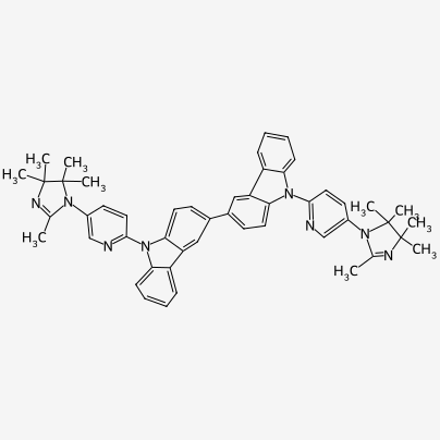 CC1=NC(C)(C)C(C)(C)N1c1ccc(-n2c3ccccc3c3cc(-c4ccc5c(c4)c4ccccc4n5-c4ccc(N5C(C)=NC(C)(C)C5(C)C)cn4)ccc32)nc1